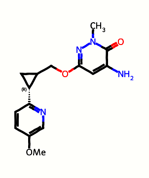 COc1ccc([C@@H]2CC2COc2cc(N)c(=O)n(C)n2)nc1